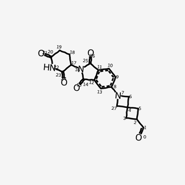 O=CC1CC2(C1)CN(c1ccc3c(c1)C(=O)N(C1CCC(=O)NC1=O)C3=O)C2